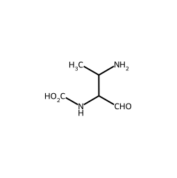 CC(N)C(C=O)NC(=O)O